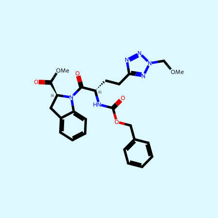 COCn1nnc(CC[C@H](NC(=O)OCc2ccccc2)C(=O)N2c3ccccc3C[C@H]2C(=O)OC)n1